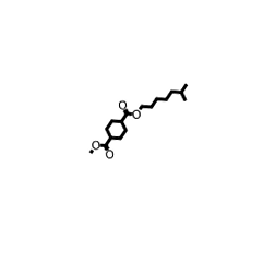 COC(=O)C1CCC(C(=O)OCCCCCC(C)C)CC1